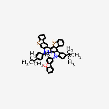 CC(C)(C)c1ccc(Nc2cc3sc4ccccc4c3cc2-c2c3c4c(c5cc(C(C)(C)C)ccc5n4-c4cc5c(cc4B3)oc3ccccc35)c3c2sc2ccccc23)cc1